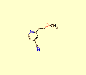 COCCc1cc(C#N)ccn1